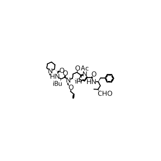 C=CCOCN(C(=O)[C@@H](NC(=O)[C@H]1CCCCN1C)C(C)CC)[C@H](C[C@@H](OC(C)=O)c1nc(C(=O)N[C@@H](Cc2ccccc2)C[C@H](C)C=O)cs1)C(C)C